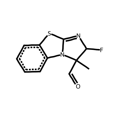 CC1(C=O)C(F)N=C2Sc3ccccc3N21